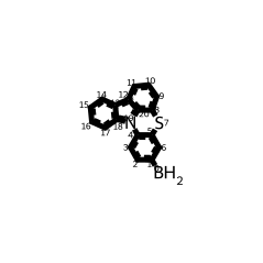 Bc1ccc2c(c1)Sc1cccc3c4ccccc4n-2c13